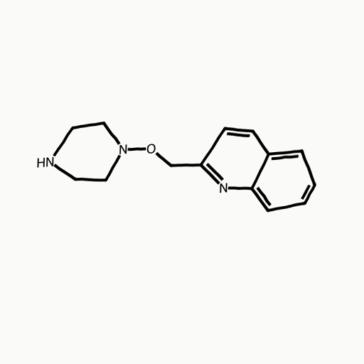 c1ccc2nc(CON3CCNCC3)ccc2c1